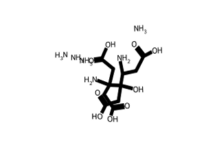 N.N.N.N.NC(CC(=O)O)C(O)(CC(=O)O)C(N)(CC(=O)O)CC(=O)O